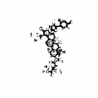 CC(C)C1=C2C3CC[C@@H]4[C@@]5(C)CC[C@H](OC(=O)CC(C)(C)C(=O)O)C(C)(C)[C@@H]5CC[C@@]4(C)[C@]3(C)CC[C@@]2(c2nnc(-c3ccc(F)cc3Cl)o2)CC1=O